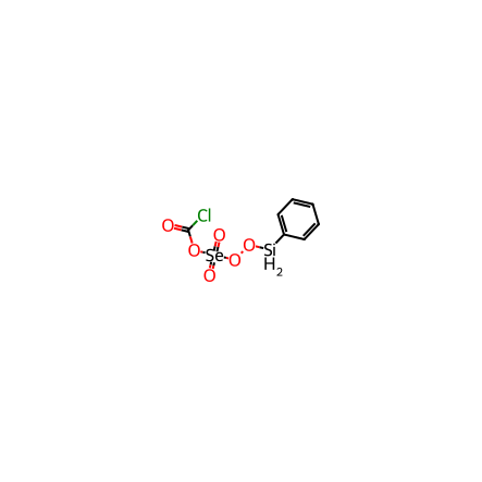 O=C(Cl)O[Se](=O)(=O)OO[SiH2]c1ccccc1